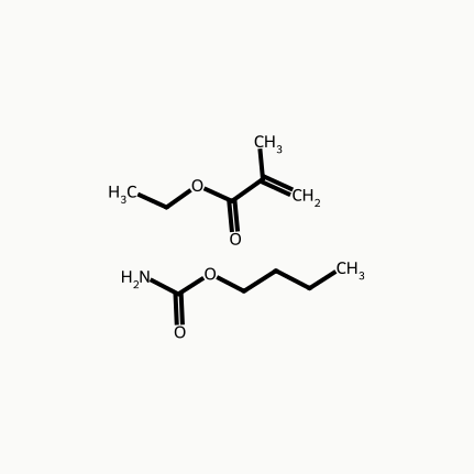 C=C(C)C(=O)OCC.CCCCOC(N)=O